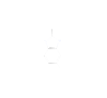 O=[C]c1nc2ccc(Cl)cc2[nH]1